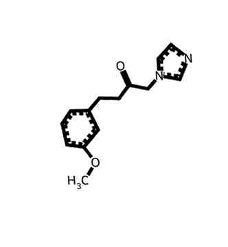 COc1cccc(CCC(=O)Cn2ccnc2)c1